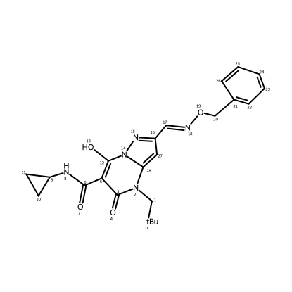 CC(C)(C)Cn1c(=O)c(C(=O)NC2CC2)c(O)n2nc(C=NOCc3ccccc3)cc12